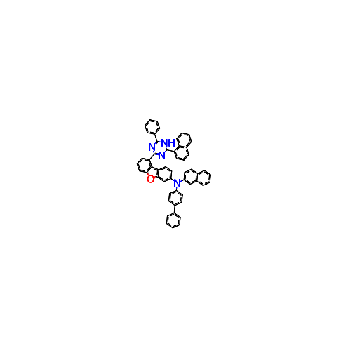 c1ccc(C2=NC(c3cccc4oc5cc(N(c6ccc(-c7ccccc7)cc6)c6ccc7ccccc7c6)ccc5c34)=NC(c3cccc4ccccc34)N2)cc1